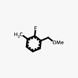 CO[CH]c1cccc(C)c1F